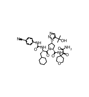 CC(C)(O)c1cnnn1[C@H]1C[C@@H](C(=O)NC2(C(=O)C(N)=O)CCOCC2)N(C(=O)[C@@H](CC2CCCCC2)NC(=O)Nc2ccc(C#N)cc2)C1